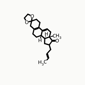 CC=CCC1C[C@H]2[C@@H]3CCC4=C(CCC5(C4)OCCO5)C3=CC[C@]2(C)C1=O